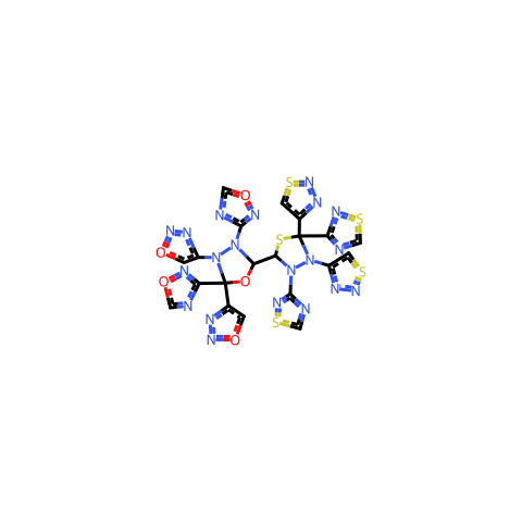 c1nc(N2C(C3SC(c4csnn4)(c4ncsn4)N(c4csnn4)N3c3ncsn3)OC(c3conn3)(c3ncon3)N2c2conn2)no1